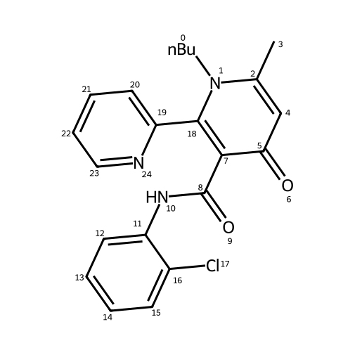 CCCCn1c(C)cc(=O)c(C(=O)Nc2ccccc2Cl)c1-c1ccccn1